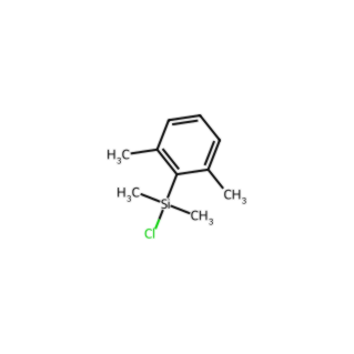 Cc1cccc(C)c1[Si](C)(C)Cl